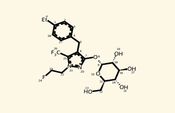 CCc1ccc(Cc2c(O[C@H]3O[C@H](CO)[C@@H](O)[C@H](O)[C@H]3O)nn(CCF)c2C(F)(F)F)cc1